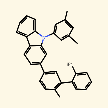 Cc1cc(C)cc(-n2c3ccccc3c3ccc(-c4ccc(C)c(-c5ccccc5C(C)C)c4)cc32)c1